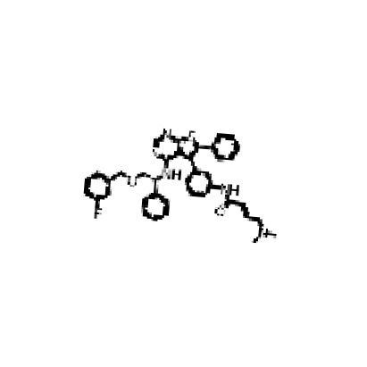 CN(C)C/C=C/C(=O)Nc1cccc(-c2c(-c3ccccc3)sc3ncnc(N[C@H](COCc4cccc(F)c4)c4ccccc4)c23)c1